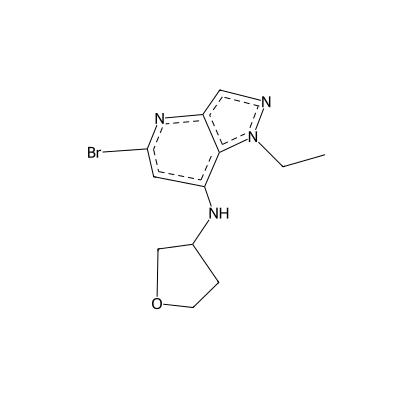 CCn1ncc2nc(Br)cc(NC3CCOC3)c21